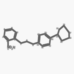 O=S(=O)(O)c1ccccc1CCCc1ccc(C2CCCCC2)cc1